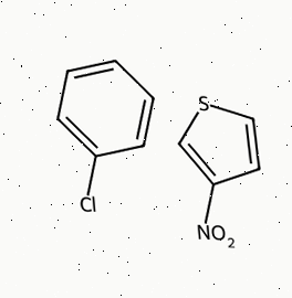 Clc1ccccc1.O=[N+]([O-])c1ccsc1